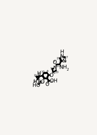 N[C@@H](C(=O)N1CC(Oc2ccc3c(c2C(=O)O)OB(O)[C@@H]2C[C@H]32)C1)c1c[nH]cn1